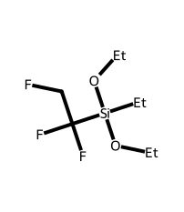 CCO[Si](CC)(OCC)C(F)(F)CF